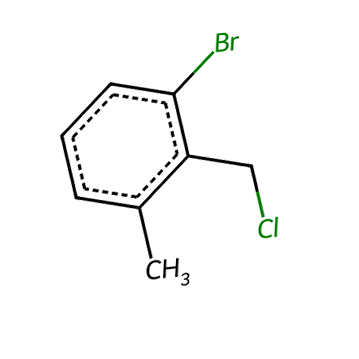 Cc1cccc(Br)c1CCl